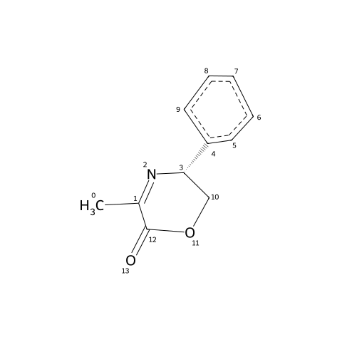 CC1=N[C@H](c2ccccc2)COC1=O